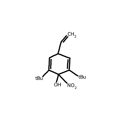 C=CC1C=C(C(C)(C)C)C(O)([N+](=O)[O-])C(C(C)(C)C)=C1